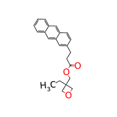 CCC1(COC(=O)CCc2ccc3cc4ccccc4cc3c2)COC1